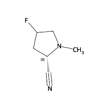 CN1CC(F)C[C@H]1C#N